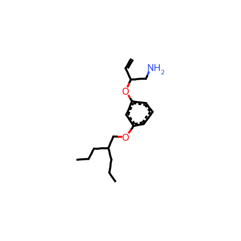 C=CC(CN)Oc1cccc(OCC(CCC)CCC)c1